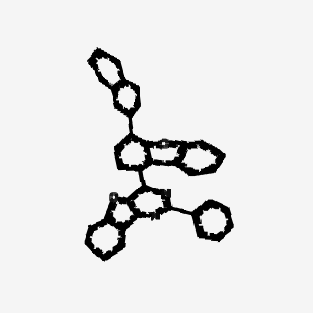 c1ccc(-c2nc(-c3ccc(-c4ccc5ccccc5c4)c4oc5ccccc5c34)c3oc4ccccc4c3n2)cc1